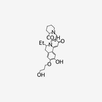 CCC1Cc2cc(OCCCO)c(O)cc2-c2cc(=O)c(CN3CCCCC3C(=O)O)cn21